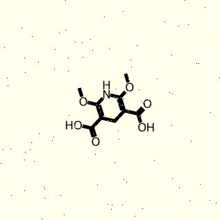 COC1=C(C(=O)O)CC(C(=O)O)=C(OC)N1